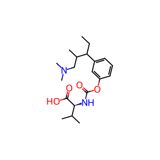 CCC(c1cccc(OC(=O)N[C@H](C(=O)O)C(C)C)c1)C(C)CN(C)C